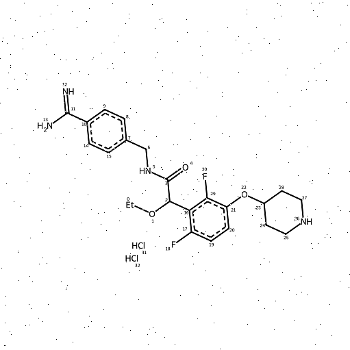 CCOC(C(=O)NCc1ccc(C(=N)N)cc1)c1c(F)ccc(OC2CCNCC2)c1F.Cl.Cl